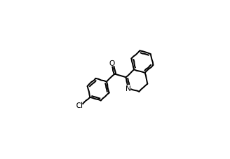 O=C(C1=NCCc2ccccc21)c1ccc(Cl)cc1